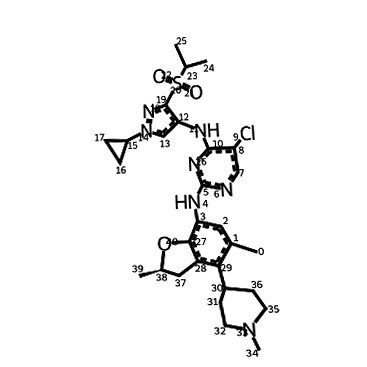 Cc1cc(Nc2ncc(Cl)c(Nc3cn(C4CC4)nc3S(=O)(=O)C(C)C)n2)c2c(c1C1CCN(C)CC1)C[C@@H](C)O2